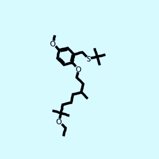 CCOC(C)(C)CCCC(C)CCOc1ccc(OC)cc1CSC(C)(C)C